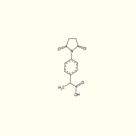 CC(C(=O)O)c1ccc(N2C(=O)CCC2=O)cc1